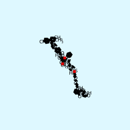 CC1(C)CCC(c2ccc(Cl)cc2)=C(CN2CCN(c3ccc(C(=O)NS(=O)(=O)c4ccc(N[C@H](CCN5CCN(C(=S)NCCOCCOCCNc6cccc7c6C(=O)N(C6CCC(=O)NC6=O)C7=O)CC5)CSc5ccccc5)c(S(=O)(=O)C(F)(F)F)c4)cc3)CC2)C1